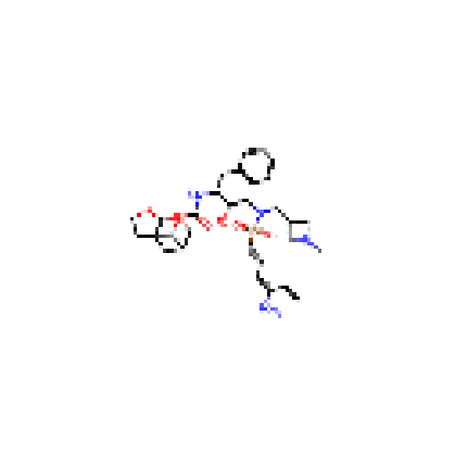 C=C/C(N)=C\C=C\S(=O)(=O)N(CC1CN(C)C1)C[C@@H](O)[C@H](Cc1ccccc1)NC(=O)OC1C2COC3OCC1C3C2